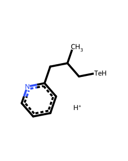 CC(C[TeH])Cc1ccccn1.[H+]